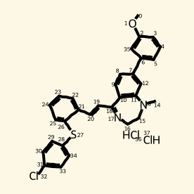 COc1cccc(-c2ccc3c(c2)N(C)CCN=C3C=Cc2ccccc2Sc2ccc(Cl)cc2)c1.Cl.Cl